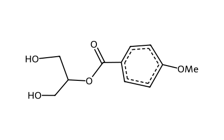 COc1ccc(C(=O)OC(CO)CO)cc1